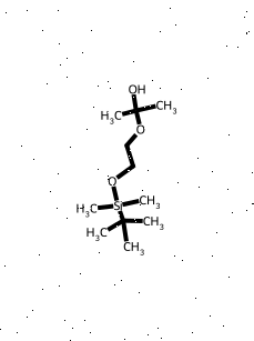 CC(C)(O)OCCO[Si](C)(C)C(C)(C)C